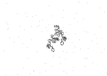 C[C@H](OCCO[C@H](C)[C@H](NC(=O)[C@@H]1CCN1)C(=O)N1CCC[C@H]1Cn1nnnc1Sc1ccccc1)[C@@H](NC(=O)[C@H]1CCN1)C(=O)N1CCC[C@@H]1Cn1nnnc1Sc1ccccc1